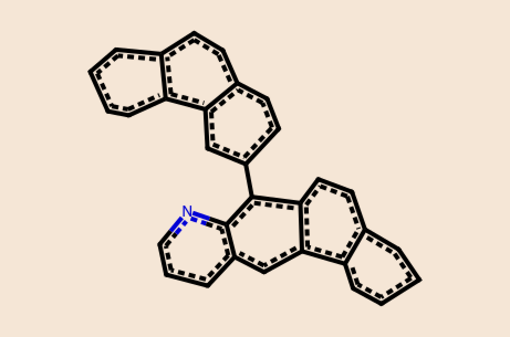 c1cnc2c(-c3ccc4ccc5ccccc5c4c3)c3ccc4ccccc4c3cc2c1